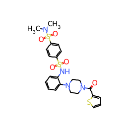 CN(C)S(=O)(=O)c1ccc(S(=O)(=O)Nc2ccccc2N2CCN(C(=O)c3cccs3)CC2)cc1